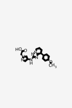 COc1ccc(-c2cccn3nc(Nc4cnn(CC(=O)O)c4)nc23)cc1